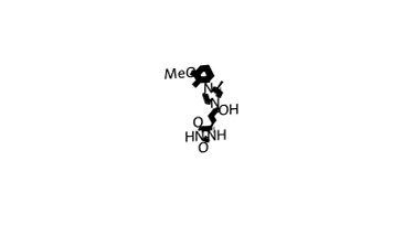 COc1cccc(N2CCN(C(O)CC[C@H]3NC(=O)NC3=O)C[C@@H]2C)c1C